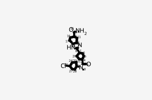 CN(C(=O)c1ccc(-c2nc3cc(C(N)=O)ccc3[nH]2)cc1)c1ccc(Cl)cc1